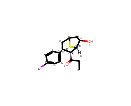 CCC(=O)[C@H]1[C@@H](c2ccc(I)cc2)CC2CC(O)[C@@H]1S2